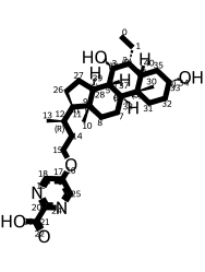 CC[C@H]1[C@@H](O)[C@@H]2[C@H](CC[C@]3(C)[C@@H]([C@H](C)CCOc4cnc(C(=O)O)nc4)CC[C@@H]23)[C@@]2(C)CC[C@@H](O)C[C@@H]12